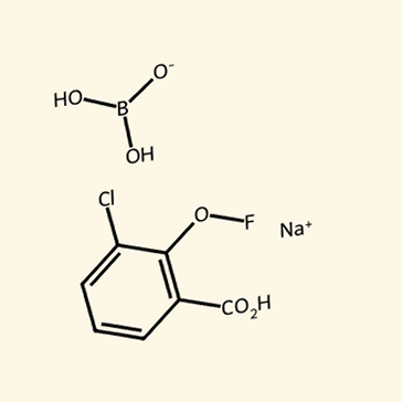 O=C(O)c1cccc(Cl)c1OF.[Na+].[O-]B(O)O